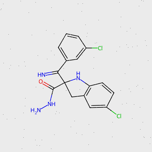 N=C(c1cccc(Cl)c1)C1(C(=O)NN)Cc2cc(Cl)ccc2N1